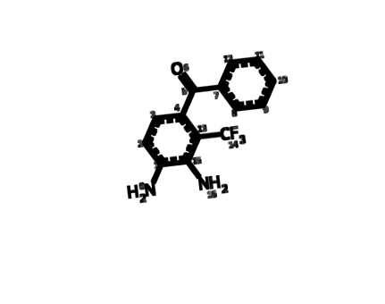 Nc1ccc(C(=O)c2ccccc2)c(C(F)(F)F)c1N